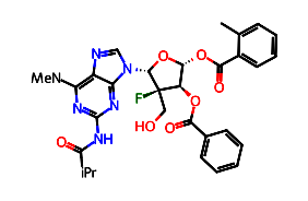 CNc1nc(NC(=O)C(C)C)nc2c1ncn2[C@@H]1O[C@H](OC(=O)c2ccccc2C)[C@@H](OC(=O)c2ccccc2)[C@]1(F)CO